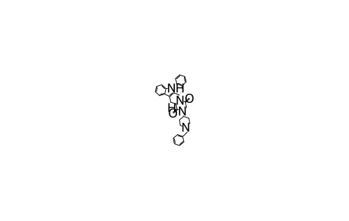 O=C1[C@H]2Cc3c([nH]c4ccccc34)[C@H](Cc3ccccc3)N2C(=O)CN1C1CCN(Cc2ccccc2)CC1